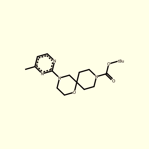 Cc1ccnc(N2CCOC3(CCN(C(=O)OC(C)(C)C)CC3)C2)n1